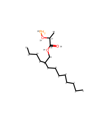 CCCCCCCCC(CCCC)COC(=O)C(C)OP